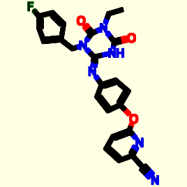 CCn1c(=O)[nH]/c(=N\c2ccc(Oc3cccc(C#N)n3)cc2)n(Cc2ccc(F)cc2)c1=O